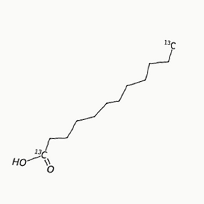 [13CH3]CCCCCCCCCC[13C](=O)O